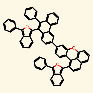 c1ccc(-c2oc(-c3ccc4cccc5c4c3-c3ccc(-c4ccc6c(-c7oc(-c8ccccc8)c8ccccc78)c(-c7ccccc7)c7ccccc7c6c4)cc3O5)c3ccccc23)cc1